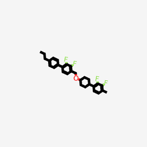 CCCc1ccc(-c2ccc(COC3CCC(c4ccc(C)c(F)c4F)CC3)c(F)c2F)cc1